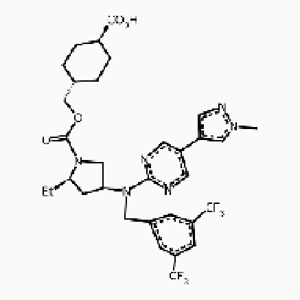 CC[C@@H]1C[C@H](N(Cc2cc(C(F)(F)F)cc(C(F)(F)F)c2)c2ncc(-c3cnn(C)c3)cn2)CN1C(=O)OC[C@H]1CC[C@H](C(=O)O)CC1